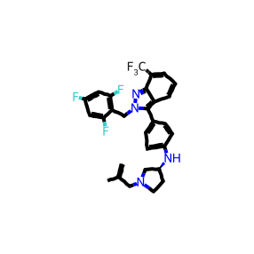 C=C(C)CN1CC[C@H](Nc2ccc(-c3c4cccc(C(F)(F)F)c4nn3Cc3c(F)cc(F)cc3F)cc2)C1